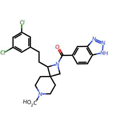 O=C(O)N1CCC2(CC1)CN(C(=O)c1ccc3[nH]nnc3c1)C2CCc1cc(Cl)cc(Cl)c1